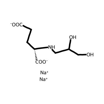 O=C([O-])CC[C@H](NCC(O)CO)C(=O)[O-].[Na+].[Na+]